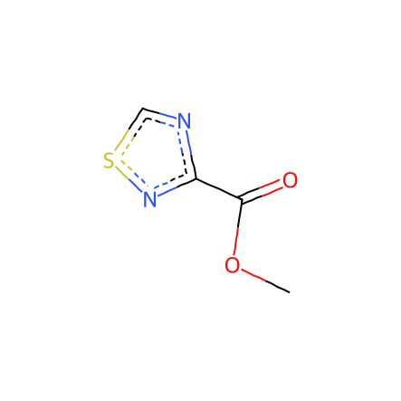 COC(=O)c1ncsn1